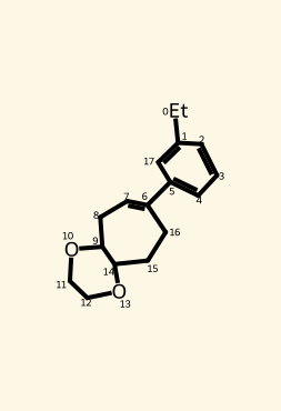 CCc1cccc(C2=CCC3OCCOC3CC2)c1